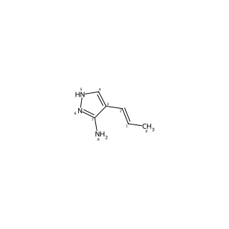 CC=Cc1c[nH]nc1N